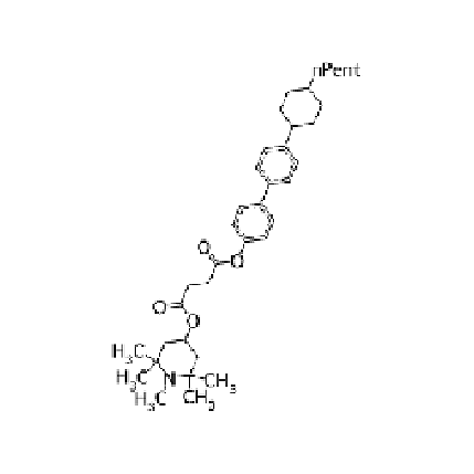 CCCCCC1CCC(c2ccc(-c3ccc(OC(=O)CCC(=O)OC4CC(C)(C)N(C)C(C)(C)C4)cc3)cc2)CC1